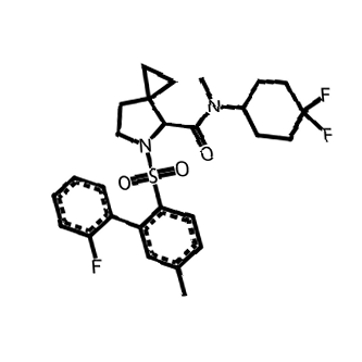 Cc1ccc(S(=O)(=O)N2CCC3(CC3)C2C(=O)N(C)C2CCC(F)(F)CC2)c(-c2ccccc2F)c1